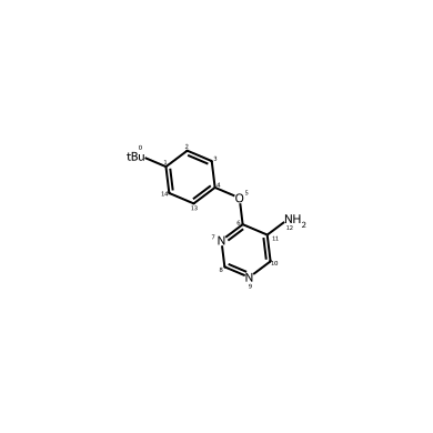 CC(C)(C)c1ccc(Oc2ncncc2N)cc1